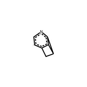 [c]1cnc2c3c1CC23